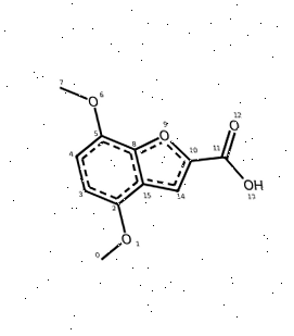 COc1ccc(OC)c2oc(C(=O)O)cc12